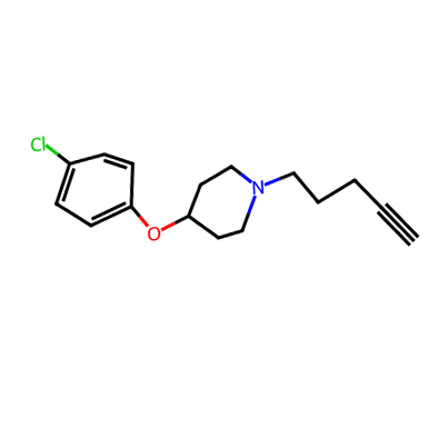 C#CCCCN1CCC(Oc2ccc(Cl)cc2)CC1